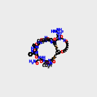 CCCC[C@@H]1NC(=O)[C@@H]2CCCN2C(=O)[C@@H]2CSCc3cc(cc(c3)OCCCCCCO/N=C/C(=O)N[C@@H](CCCNC(=N)N)C(=O)N2)CSC[C@@H](C(N)=O)NC(=O)[C@H](CCC(=O)O)NC(=O)[C@H](CCC(N)=O)NC(=O)[C@H](Cc2c[nH]c3ccccc23)NC(=O)[C@H](CC2CCC2)NC(=O)[C@H](CC(=O)O)NC1=O